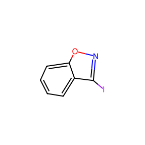 Ic1noc2ccccc12